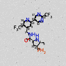 C[C@@H]1N[C@H](C(=O)NCc2cc(-c3cnc(C(F)(F)F)nc3)ncc2C(F)(F)F)C[C@H]1P